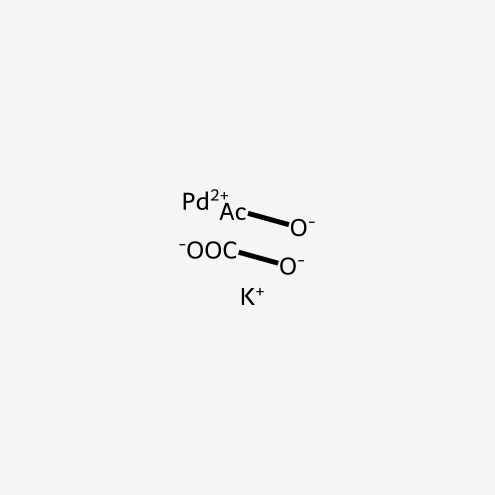 CC(=O)[O-].O=C([O-])[O-].[K+].[Pd+2]